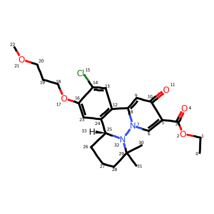 CCOC(=O)c1cn2c(cc1=O)-c1cc(Cl)c(OCCCOC)cc1[C@H]1CCCC(C)(C)N12